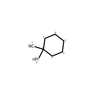 CC[CH]C1(C#N)CCCCC1